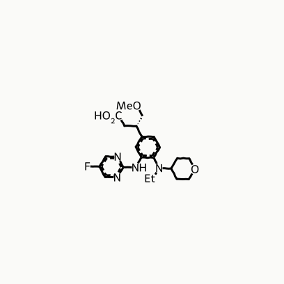 CCN(c1ccc([C@@H](COC)CC(=O)O)cc1Nc1ncc(F)cn1)C1CCOCC1